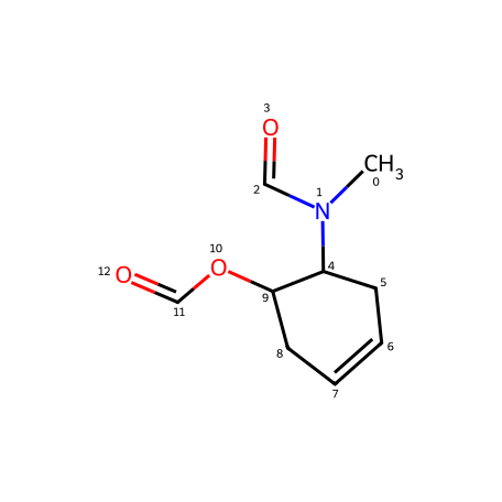 CN(C=O)C1CC=CCC1OC=O